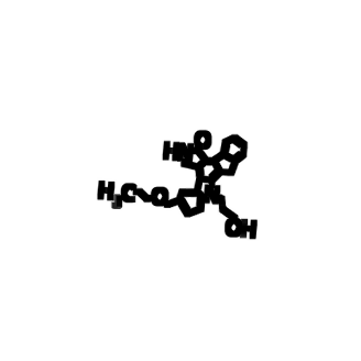 CCCOCc1ccc2c(c1)c1c3c(c4c(c1n2CCCO)Cc1ccccc1-4)C(=O)NC3